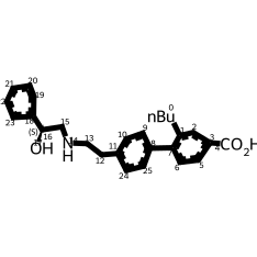 CCCCc1cc(C(=O)O)ccc1-c1ccc(CCNC[C@@H](O)c2ccccc2)cc1